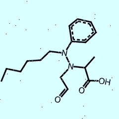 CCCCCCN(c1ccccc1)N(CC=O)C(C)C(=O)O